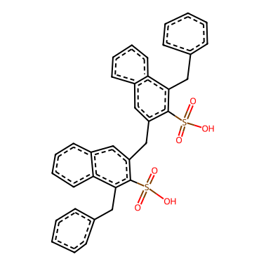 O=S(=O)(O)c1c(Cc2cc3ccccc3c(Cc3ccccc3)c2S(=O)(=O)O)cc2ccccc2c1Cc1ccccc1